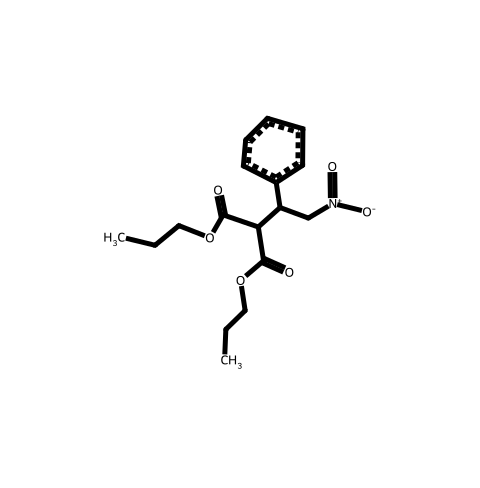 CCCOC(=O)C(C(=O)OCCC)C(C[N+](=O)[O-])c1ccccc1